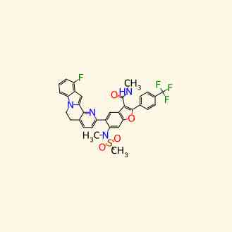 CNC(=O)c1c(-c2ccc(C(F)(F)F)cc2)oc2cc(N(C)S(C)(=O)=O)c(-c3ccc4c(n3)-c3cc5c(F)cccc5n3CC4)cc12